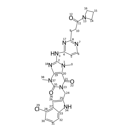 Cn1c(Nc2ccnc(CCC(=O)N3CCC3)n2)nc2c1c(=O)n(Cc1cc3c(Cl)cccc3[nH]1)c(=O)n2C